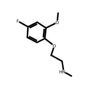 CNCCOc1ccc(F)cc1OC